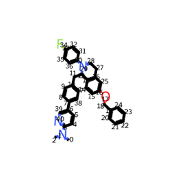 CN(C)c1ccc(-c2ccc(CC3c4ccc(OCc5ccccc5)cc4CCN3c3ccc(F)cc3)cc2)cn1